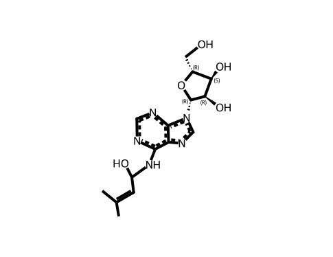 CC(C)=CC(O)Nc1ncnc2c1ncn2[C@@H]1O[C@H](CO)[C@@H](O)[C@H]1O